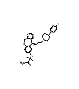 CC(C)(Oc1ccc2c(c1)/C(=C/CCN1CCC(c3ccc(Cl)cc3)CC1)c1cccnc1CO2)C(N)=O